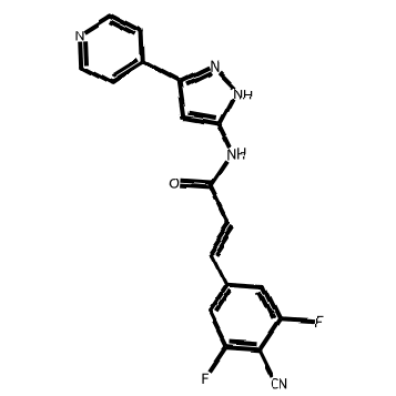 N#Cc1c(F)cc(C=CC(=O)Nc2cc(-c3ccncc3)n[nH]2)cc1F